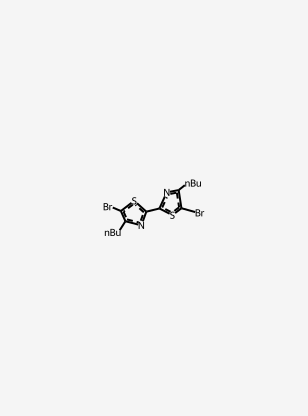 CCCCc1nc(-c2nc(CCCC)c(Br)s2)sc1Br